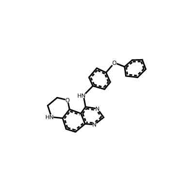 c1ccc(Oc2ccc(Nc3ncnc4ccc5c(c34)OCCN5)cc2)cc1